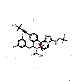 CC(C)(O)C#Cc1ccc(-c2cccn3c(NCC(F)(F)F)nnc23)c(C(Cc2cc(F)cc(F)c2)N(C(=O)O)C(C)(C)C)n1